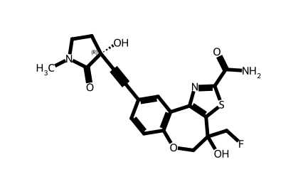 CN1CC[C@@](O)(C#Cc2ccc3c(c2)-c2nc(C(N)=O)sc2C(O)(CF)CO3)C1=O